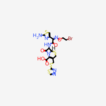 Nc1nc(/C(=N/OCCBr)C(=O)NC2C(=O)N3C(C(=O)O)=C(CSc4nncs4)CS[C@H]23)cs1